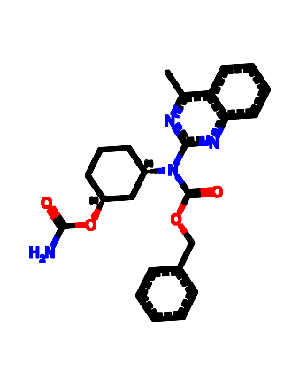 Cc1nc(N(C(=O)OCc2ccccc2)[C@H]2CCC[C@H](OC(N)=O)C2)nc2ccccc12